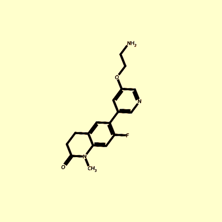 CN1C(=O)CCc2cc(-c3cncc(OCCN)c3)c(F)cc21